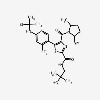 CCCC1CCC(C)N1C(=O)c1nc(C(=O)NCC(C)(C)O)sc1-c1cnc(NC(C)(C)CC)cc1C(F)(F)F